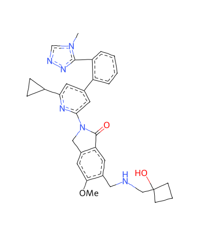 COc1cc2c(cc1CNCC1(O)CCC1)C(=O)N(c1cc(-c3ccccc3-c3nncn3C)cc(C3CC3)n1)C2